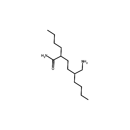 CCCCC(CN)CCC(CCCC)C(N)=O